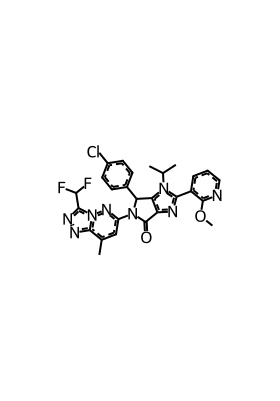 COc1ncccc1-c1nc2c(n1C(C)C)C(c1ccc(Cl)cc1)N(c1cc(C)c3nnc(C(F)F)n3n1)C2=O